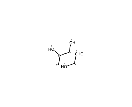 CC(O)CO.O=CCO